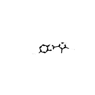 COc1ccc2[nH]c(-c3n[nH]c(SC)c3C)nc2c1